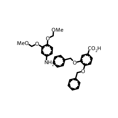 COCOc1ccc(N)cc1OCOC.O=C(O)c1ccc(OCc2ccccc2)c(OCc2ccccc2)c1